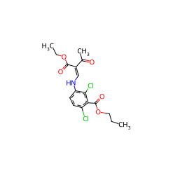 CCCOC(=O)c1c(Cl)ccc(NC=C(C(C)=O)C(=O)OCC)c1Cl